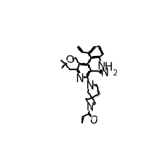 C=CC(=O)N1CC2(CCN(c3nc4c(c(-c5c(N)cccc5C=C)c3C#N)COC(C)(C)C4)C2)C1